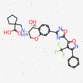 O=C(O)C1(CN[C@H]2COc3cc(-c4noc(-c5onc(-c6ccccc6)c5C(F)(F)F)n4)ccc3[C@H]2O)CCCC1